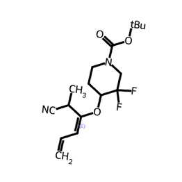 C=C/C=C(/OC1CCN(C(=O)OC(C)(C)C)CC1(F)F)C(C)C#N